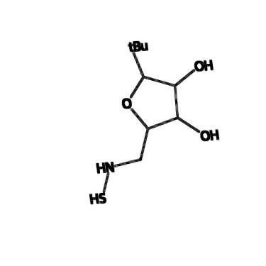 CC(C)(C)C1OC(CNS)C(O)C1O